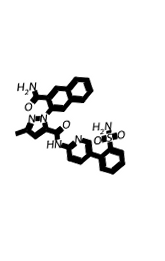 Cc1cc(C(=O)Nc2ccc(-c3ccccc3S(N)(=O)=O)cn2)n(-c2cc3ccccc3cc2C(N)=O)n1